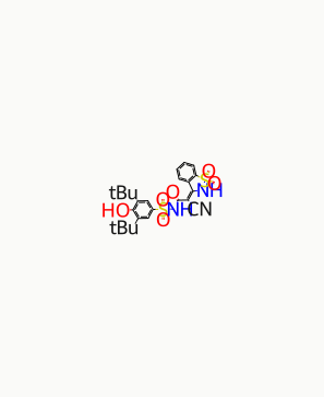 CC(C)(C)c1cc(S(=O)(=O)NC(=O)C(C#N)=C2NS(=O)(=O)c3ccccc32)cc(C(C)(C)C)c1O